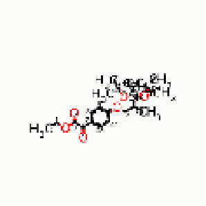 CCOC(=O)C(=O)c1ccc(OCC(C)[Si](C)(O[Si](C)(C)C)O[Si](C)(C)C)cc1